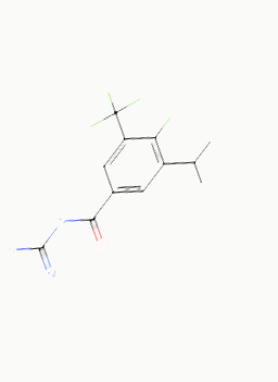 CC(C)c1cc(C(=O)NC(=N)N)cc(C(F)(F)F)c1F